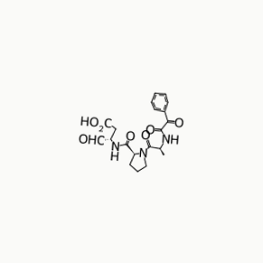 C[C@H](NC(=O)C(=O)c1ccccc1)C(=O)N1CCC[C@H]1C(=O)N[C@H](C=O)CC(=O)O